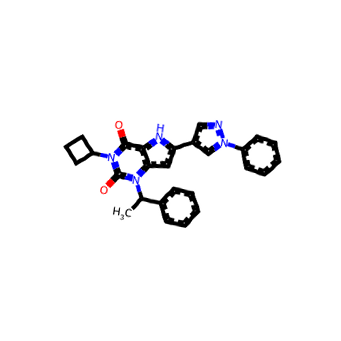 CC(c1ccccc1)n1c(=O)n(C2CCC2)c(=O)c2[nH]c(-c3cnn(-c4ccccc4)c3)cc21